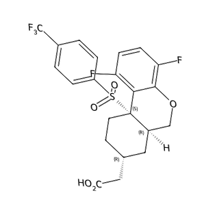 O=C(O)C[C@@H]1CC[C@@]2(S(=O)(=O)c3ccc(C(F)(F)F)cc3)c3c(F)ccc(F)c3OC[C@H]2C1